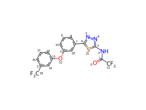 O=C(Nc1nnc(-c2cccc(Oc3cccc(C(F)(F)F)c3)c2)s1)C(F)(F)F